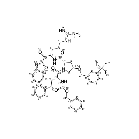 N=C(N)NCCC[C@H](NC(=O)[C@@H]1C[C@@H](OCc2cccc(C(F)(F)F)c2)CN1C(=O)[C@@H](CCc1ccccc1)NC(=O)OCc1ccccc1)C(=O)c1nc2ccccc2o1